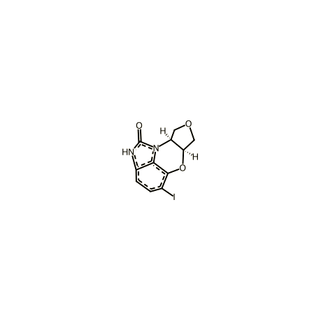 O=c1[nH]c2ccc(I)c3c2n1[C@H]1COC[C@H]1O3